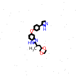 CC(CC1COCCO1)c1nc2cc(Oc3ccc(-c4ccn[nH]4)cc3)ccc2[nH]1